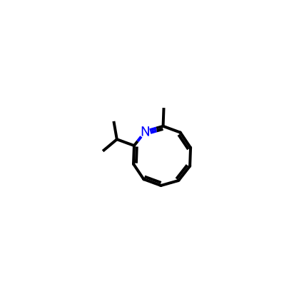 Cc1cccccccc(C(C)C)n1